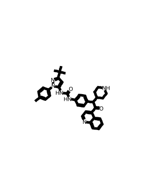 Cc1ccc(-n2nc(C(C)(C)C)cc2NC(=O)Nc2ccc(C(C(=O)c3ccnc4ccccc34)C3CCNCC3)cc2)cc1